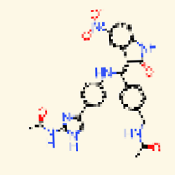 CC(=O)NCc1ccc(C(Nc2ccc(-c3c[nH]c(NC(C)=O)n3)cc2)=C2C(=O)Nc3ccc([N+](=O)[O-])cc32)cc1